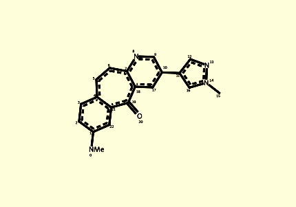 CNc1ccc2ccc3ncc(-c4cnn(C)c4)cc3c(=O)c2c1